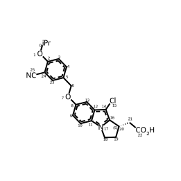 CC(C)Oc1ccc(COc2ccc3c(c2)c(Cl)c2n3CC[C@H]2CC(=O)O)cc1C#N